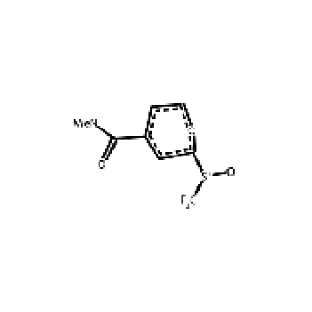 CNC(=O)c1cccc([S+]([O-])C(F)(F)F)c1